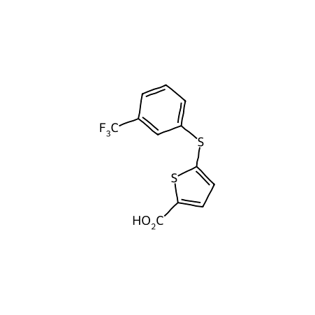 O=C(O)c1ccc(Sc2cccc(C(F)(F)F)c2)s1